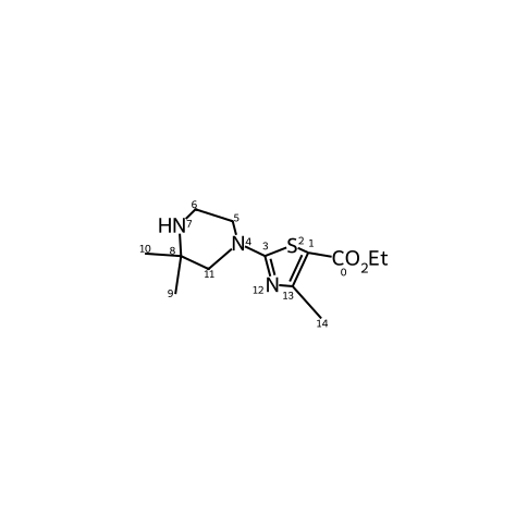 CCOC(=O)c1sc(N2CCNC(C)(C)C2)nc1C